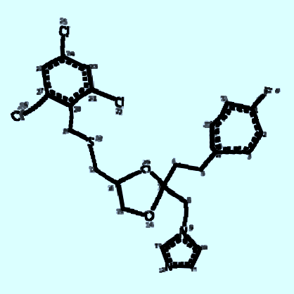 Fc1ccc(CCC2(Cn3ccnc3)OCC(CSCc3c(Cl)cc(Cl)cc3Cl)O2)cc1